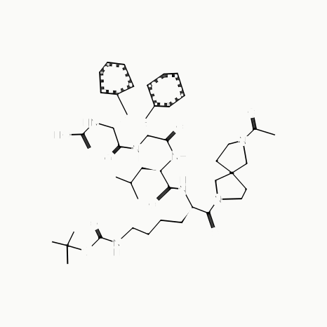 CC(=O)N1CCC2(CCN(C(=O)[C@@H](CCCCNC(=O)OC(C)(C)C)NC(=O)[C@@H](CC(C)C)NC(=O)[C@@H](Cc3ccccc3)NC(=O)[C@@H](Cc3ccccc3)NC(=O)O)C2)C1